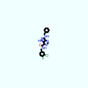 O=C(NCc1ccc(F)c(Cl)c1)c1ncnc2c(NCc3ccccc3)n[nH]c12